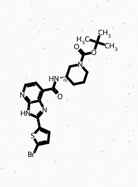 CC(C)(C)OC(=O)N1CCC[C@H](NC(=O)c2ccnc3[nH]c(-c4ccc(Br)s4)nc23)C1